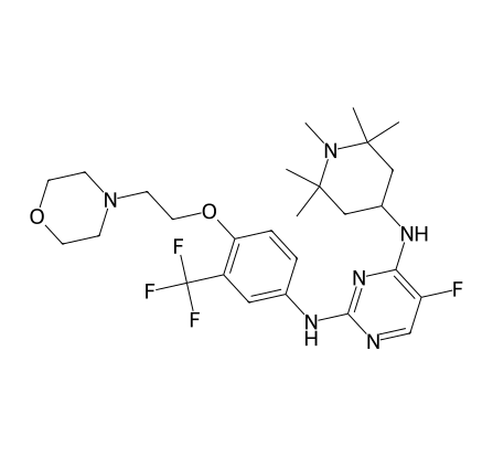 CN1C(C)(C)CC(Nc2nc(Nc3ccc(OCCN4CCOCC4)c(C(F)(F)F)c3)ncc2F)CC1(C)C